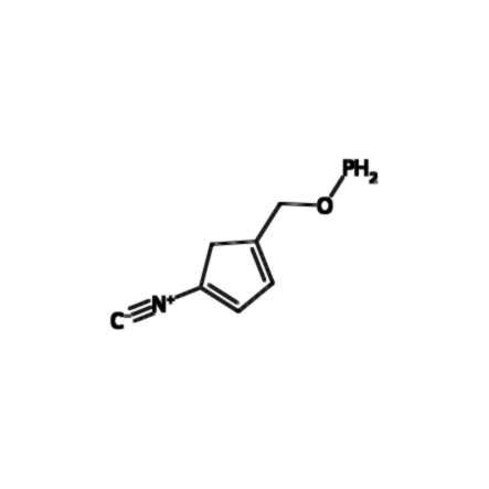 [C-]#[N+]C1=CC=C(COP)C1